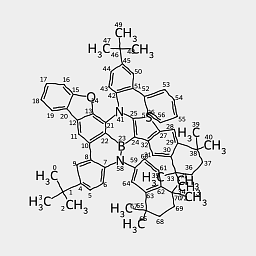 CC(C)(C)c1ccc2c(c1)-c1cc3c(oc4ccccc43)c3c1B(c1c(sc4cc5c(cc14)C(C)(C)CCC5(C)C)N3c1ccc(C(C)(C)C)cc1-c1ccccc1)N2c1ccc2c(c1)C(C)(C)CCC2(C)C